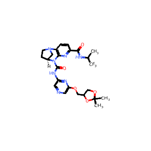 CC(NC(=O)c1ccc2c(n1)N(C(=O)Nc1cncc(OCC3COC(C)(C)O3)n1)[C@H]1CCN2C1)C(F)(F)F